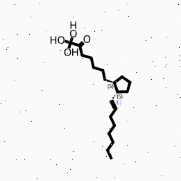 CCCCCC/C=C/[C@H]1CCC[C@@H]1CCCCCC(=O)C(O)(O)O